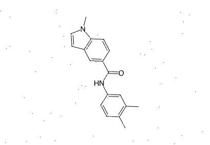 Cc1ccc(NC(=O)c2ccc3c(ccn3C)c2)cc1C